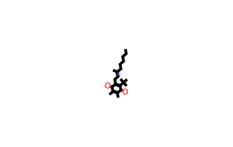 CCCCCC/C(C)=C/CC1=C(C(C)(C)C)C(=O)C(C)=C(C)C1=O